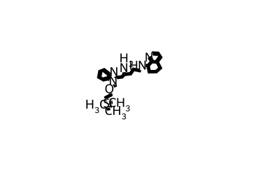 C[Si](C)(C)CCOCn1c(CC(N)CCCNC2CCCc3cccnc32)nc2ccccc21